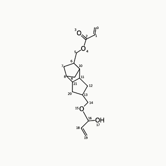 C=CC(=O)OCC1CC2CC1C1CC(COC(O)C=C)CC21